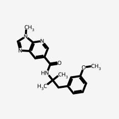 COc1cccc(CC(C)(C)NC(=O)c2cnc3c(c2)ncn3C)c1